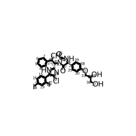 C[C@H](c1ccccc1)[C@@H](c1nc(Cl)c(-c2ccc(I)cc2F)[nH]1)N1C(=O)N[C@H](c2ccc(OC[C@H](O)CO)cc2)C1=O